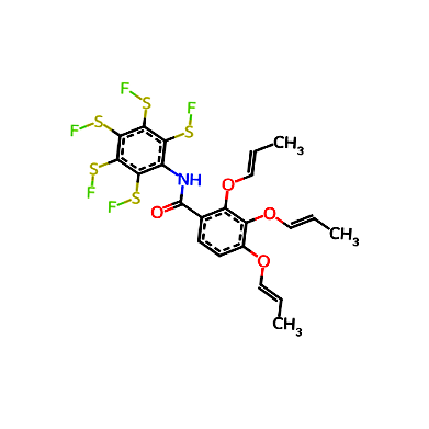 CC=COc1ccc(C(=O)Nc2c(SF)c(SF)c(SF)c(SF)c2SF)c(OC=CC)c1OC=CC